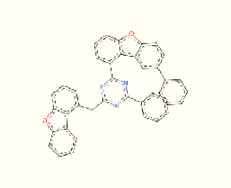 c1ccc(-c2ccc3oc4cccc(-c5nc(Cc6cccc7oc8ccccc8c67)nc(-c6ccccc6)n5)c4c3c2)cc1